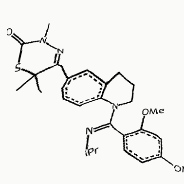 COc1ccc(C(=NC(C)C)N2CCCc3cc(C4=NN(C)C(=O)SC4(C)C)ccc32)c(OC)c1